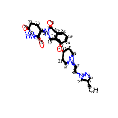 C#Cc1cnn(CCN2CCC(Oc3cccc4c3CN(C3CCC(=O)NC3=O)C4=O)CC2)c1